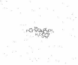 Cc1oc2ncnc(N(C)C3(C)CC3)c2c1C(=O)N1Cc2cnc(-c3ccc(F)cc3)nc2C1